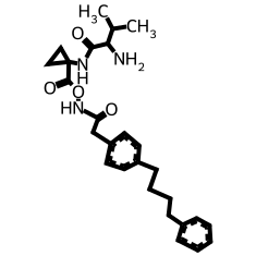 CC(C)C(N)C(=O)NC1(C(=O)ONC(=O)Cc2ccc(CCCCc3ccccc3)cc2)CC1